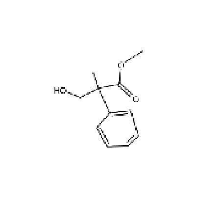 COC(=O)C(C)(CO)c1ccccc1